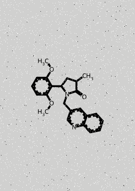 COc1cccc(OC)c1C1CC(C)C(=O)N1Cc1cnc2ccccc2c1